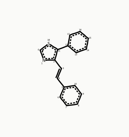 [c]1nc(C=Cc2ccccc2)c(-c2ccccc2)s1